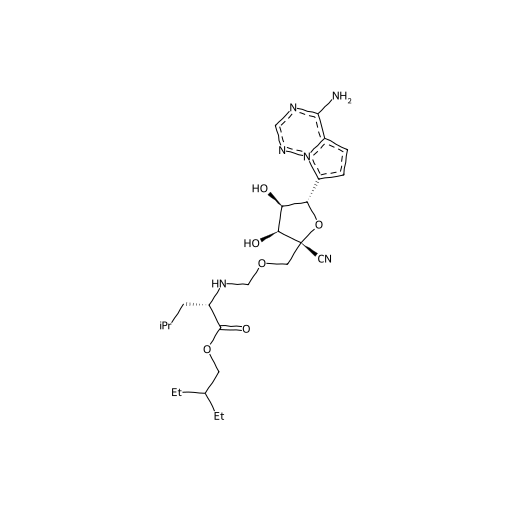 CCC(CC)COC(=O)[C@H](CC(C)C)NCOC[C@@]1(C#N)O[C@@H](c2ccc3c(N)ncnn23)[C@H](O)[C@@H]1O